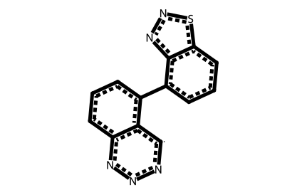 [c]1nnnc2cccc(-c3cccc4snnc34)c12